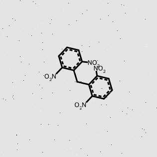 O=[N+]([O-])c1cccc([N+](=O)[O-])c1[CH]c1c([N+](=O)[O-])cccc1[N+](=O)[O-]